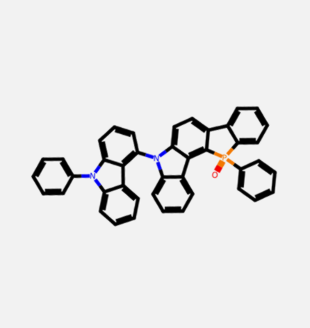 O=P1(c2ccccc2)c2ccccc2-c2ccc3c(c21)c1ccccc1n3-c1cccc2c1c1ccccc1n2-c1ccccc1